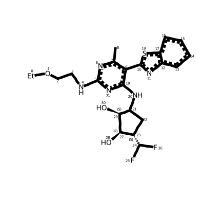 CCOCCNc1nc(C)c(-c2nc3ccccc3s2)c(NC2C[C@H](C(F)F)[C@@H](O)[C@H]2O)n1